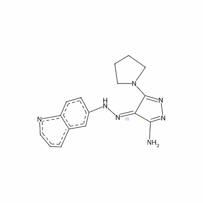 NC1=NN=C(N2CCCC2)/C1=N\Nc1ccc2ncccc2c1